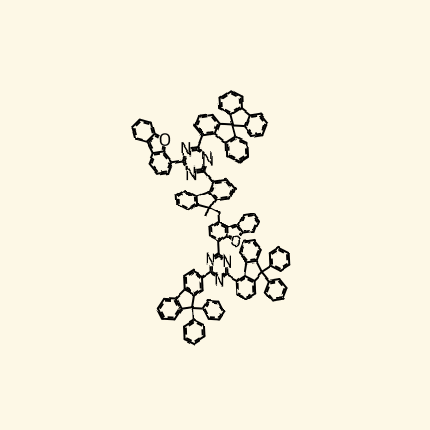 CC1(Cc2ccc(-c3nc(-c4ccc5c(c4)C(c4ccccc4)(c4ccccc4)c4ccccc4-5)nc(-c4cccc5c4-c4ccccc4C5(c4ccccc4)c4ccccc4)n3)c3oc4ccccc4c23)c2ccccc2-c2c(-c3nc(-c4cccc5c4-c4ccccc4C54c5ccccc5-c5ccccc54)nc(-c4cccc5c4oc4ccccc45)n3)cccc21